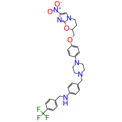 O=[N+]([O-])c1cn2c(n1)OC(COc1ccc(N3CCN(Cc4ccc(NCc5ccc(C(F)(F)F)cc5)cc4)CC3)cc1)CC2